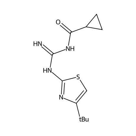 CC(C)(C)c1csc(NC(=N)NC(=O)C2CC2)n1